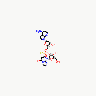 Nc1ccnc2c1ccn2[C@H]1C[C@H](O)[C@@H](COP(=O)(S)O[C@@H]2[C@H](O)[C@@H](CO)O[C@H]2n2ccc(=O)n3ccnc23)O1